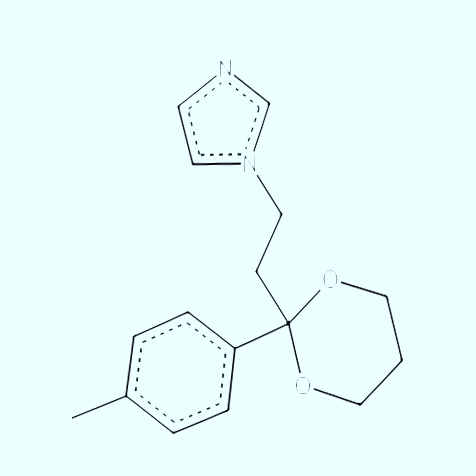 Cc1ccc(C2(CCn3ccnc3)OCCCO2)cc1